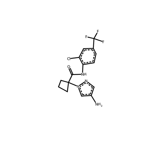 Nc1cnn(C2(C(=O)Nc3ccc(C(F)(F)F)cc3Cl)CCC2)c1